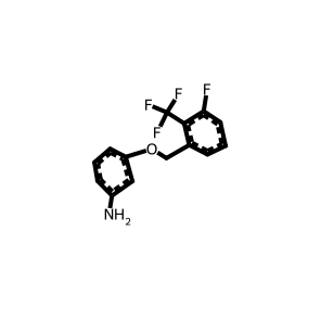 Nc1cccc(OCc2cccc(F)c2C(F)(F)F)c1